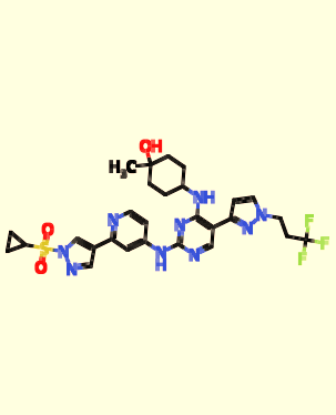 CC1(O)CCC(Nc2nc(Nc3ccnc(-c4cnn(S(=O)(=O)C5CC5)c4)c3)ncc2-c2ccn(CCC(F)(F)F)n2)CC1